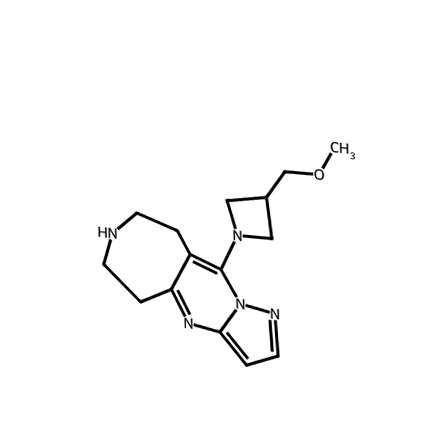 COCC1CN(c2c3c(nc4ccnn24)CCNCC3)C1